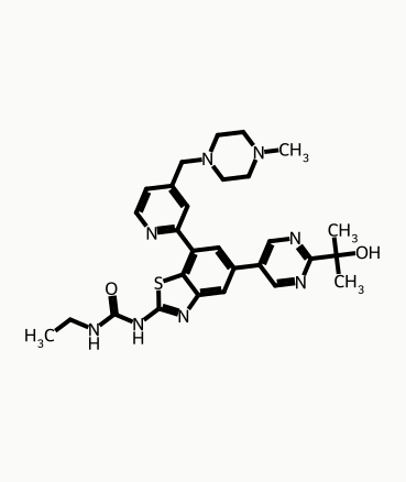 CCNC(=O)Nc1nc2cc(-c3cnc(C(C)(C)O)nc3)cc(-c3cc(CN4CCN(C)CC4)ccn3)c2s1